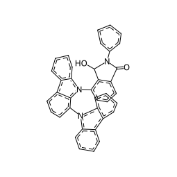 O=C1c2cccc(-n3c4ccccc4c4cccc(-n5c6ccccc6c6ccccc65)c43)c2C(O)N1c1ccccc1